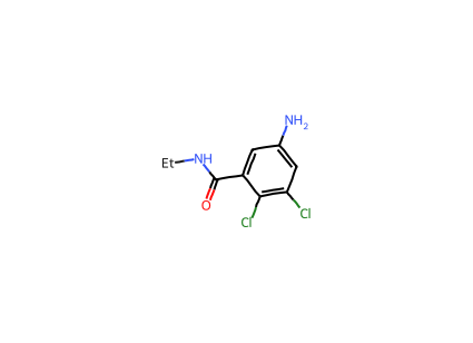 CCNC(=O)c1cc(N)cc(Cl)c1Cl